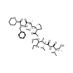 CC[C@H](C)[C@@H]([C@@H](CC(=O)N1CCC[C@H]1[C@H](OC)[C@@H](C)C(=O)N[C@@H](Cc1ccccc1)C(=O)N1CCCCO1)OC)N(C)[C@H](C(=O)NC(=O)[C@H]([C@@H](C)O)N(C)C)C(C)C